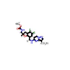 CCOC(=O)c1cnn2ccc(N[C@H](C)c3cc(F)c(F)c4c3OC(C)(CNC(=O)OC(C)(C)C)C4)nc12